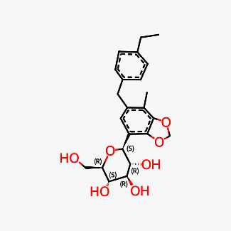 CCc1ccc(Cc2cc([C@@H]3O[C@H](CO)[C@@H](O)[C@H](O)[C@H]3O)c3c(c2C)OCO3)cc1